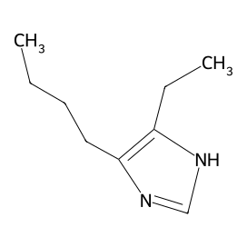 CCCCc1nc[nH]c1CC